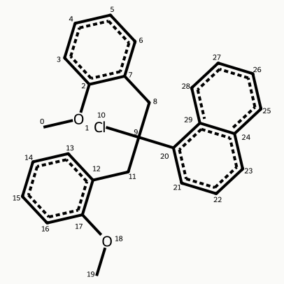 COc1ccccc1CC(Cl)(Cc1ccccc1OC)c1cccc2ccccc12